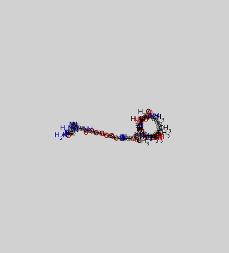 COC(=O)NC1C[C@@H]2CC[C@@H](C)[C@@](O)(O2)C(=O)C(=O)N2CCCC[C@H]2C(=O)O[C@H]([C@H](N)C[C@@H]2CC[C@@H](OCCCCc3cn(CCOCCOCCOCCOCCOCCOCCC(=O)NCCCCn4nc(-c5ccc6oc(N)nc6c5)c5c(N)ncnc54)nn3)[C@H](OC)C2)CC(=O)[C@H](C)/C=C(\C)[C@@H](O)[C@@H](O)C(=O)[C@H](C)C[C@H](C)/C=C/C=C/C=C/1C